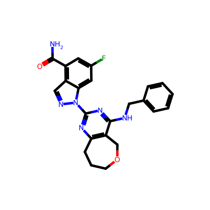 NC(=O)c1cc(F)cc2c1cnn2-c1nc2c(c(NCc3ccccc3)n1)COCCC2